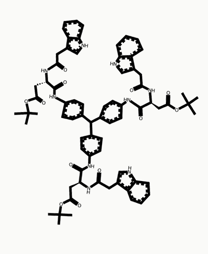 CC(C)(C)OC(=O)C[C@H](NC(=O)Cc1c[nH]c2ccccc12)C(=O)Nc1ccc(C(c2ccc(NC(=O)[C@H](CC(=O)OC(C)(C)C)NC(=O)Cc3c[nH]c4ccccc34)cc2)c2ccc(NC(=O)[C@H](CC(=O)OC(C)(C)C)NC(=O)Cc3c[nH]c4ccccc34)cc2)cc1